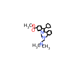 COC(=O)c1ccc2c(C3CCCCC3)c3n(c2c1)CCN(CCN(C)C)Cc1ccccc1-3